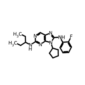 CCC(CC)Nc1ncc2nc(Nc3ccccc3F)n(C3CCCC3)c2n1